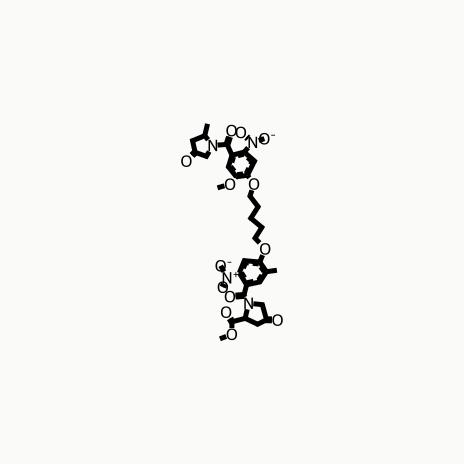 COC(=O)C1CC(=O)CN1C(=O)c1cc(C)c(OCCCCCOc2cc([N+](=O)[O-])c(C(=O)N3CC(=O)CC3C)cc2OC)cc1[N+](=O)[O-]